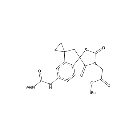 CNC(=O)Nc1ccc2c(c1)C1(CC1)CC21SC(=O)N(CC(=O)OC(C)(C)C)C1=O